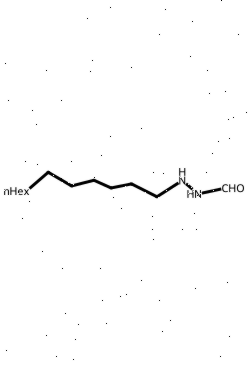 CCCCCCCCCCCCNNC=O